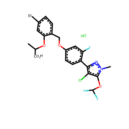 CCc1ccc(COc2ccc(-c3nn(C)c(OC(F)F)c3Cl)c(F)c2)c(OC(C)C(=O)O)c1.Cl